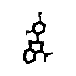 CN(C)c1nc(-c2ccc(F)cc2F)nc2ccccc12